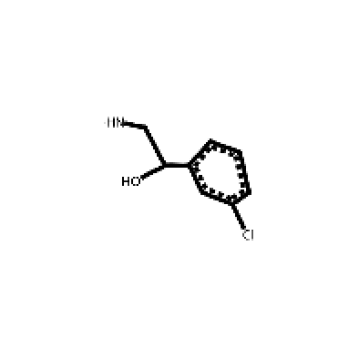 [NH]CC(O)c1cccc(Cl)c1